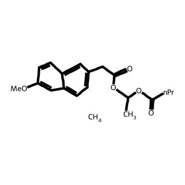 C.CCCC(=O)OC(C)OC(=O)Cc1ccc2cc(OC)ccc2c1